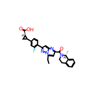 CCc1cc(C(=O)N2CCc3ccccc3[C@H]2C)nc2cc(-c3ccc(C4C[C@H]4C(=O)O)cc3F)nn12